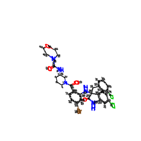 O=C(N[C@H]1CCCN(C(=O)c2ccc(Br)cc2NC2(Cc3cccc(Cl)c3)C(=O)Nc3cc(Cl)ccc32)C1)N1CCOCC1